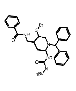 CCCCNC(=O)NC1CC(CNC(=O)c2ccccc2)C(SCC)CN1C(c1ccccc1)c1ccccc1